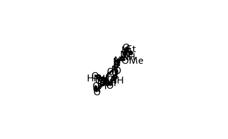 CC[C@@H]1C(=O)N(C)c2cnc(Nc3ccc(-c4cn([C@H]5CC[C@@H](N(CCOCCC#Cc6cccc7c6CN(C6CCC(=O)NC6=O)C7=O)C(=O)OCc6ccc(NC(=O)CNC(=O)C(NC(=O)CCCCCN7C(=O)C=CC7=O)C(C)C)cc6)CC5)nn4)cc3OC)nc2N1C1CCCC1